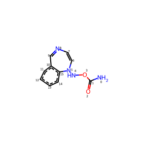 NC(=O)ONN1C=CN=Cc2ccccc21